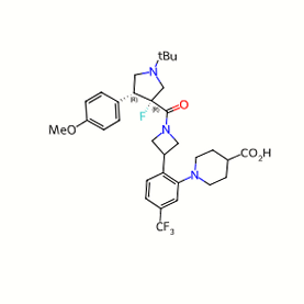 COc1ccc([C@@H]2CN(C(C)(C)C)C[C@@]2(F)C(=O)N2CC(c3ccc(C(F)(F)F)cc3N3CCC(C(=O)O)CC3)C2)cc1